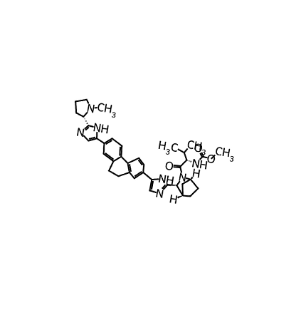 COC(=O)N[C@H](C(=O)N1[C@@H]2CC[C@@H](C2)[C@H]1c1ncc(-c2ccc3c(c2)CCc2cc(-c4cnc([C@@H]5CCCN5C)[nH]4)ccc2-3)[nH]1)C(C)C